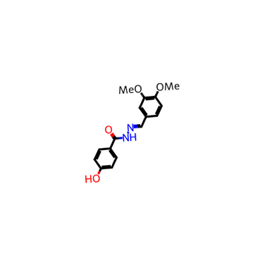 COc1ccc(C=NNC(=O)c2ccc(O)cc2)cc1OC